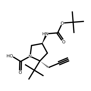 C#CC[C@@]1(C(C)(C)C)C[C@H](NC(=O)OC(C)(C)C)CN1C(=O)O